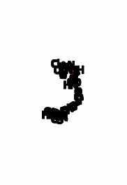 Cc1cc(S(=O)(=O)NCCOC2CCN(CC3CCN(c4ccc5c(c4)n(C)c(=O)n5C4CCC(=O)NC4=O)CC3)CC2)ccc1Nc1ncc2cc(Cl)c(=O)n(C3CCCC3)c2n1